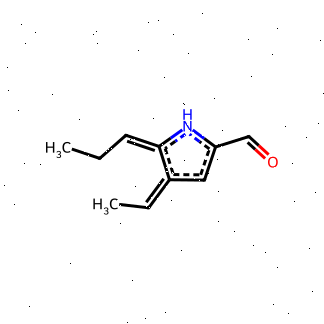 C/C=c1/cc(C=O)[nH]/c1=C/CC